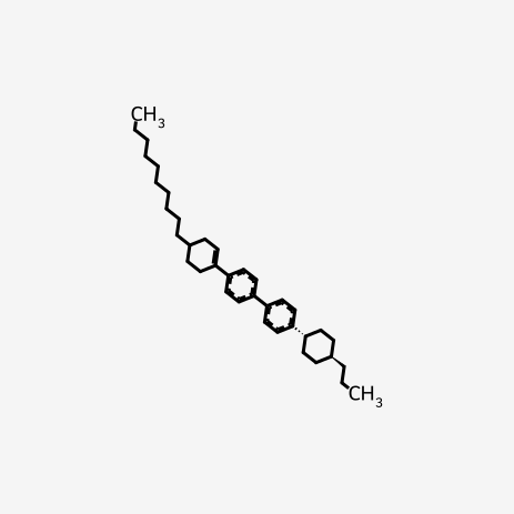 CCCCCCCCCCC1CC=C(c2ccc(-c3ccc([C@H]4CC[C@H](CCC)CC4)cc3)cc2)CC1